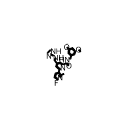 COc1cc(CNC(=O)c2cc(CNC3=NCCN3)cc(-c3ccc(F)nc3C)n2)cc(OC)c1